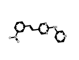 O=[N+]([O-])c1cccc(C=Cc2cnc(Nc3cccnc3)nc2)c1